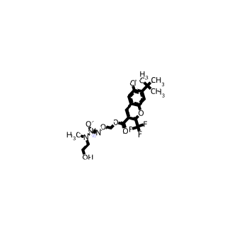 CN(CCO)/[N+]([O-])=N/OCOC(=O)C1=Cc2cc(Cl)c(C(C)(C)C)cc2OC1C(F)(F)F